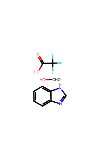 O=C(O)C(F)(F)F.O=CO.c1ccc2[nH]cnc2c1